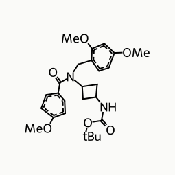 COc1ccc(C(=O)N(Cc2ccc(OC)cc2OC)C2CC(NC(=O)OC(C)(C)C)C2)cc1